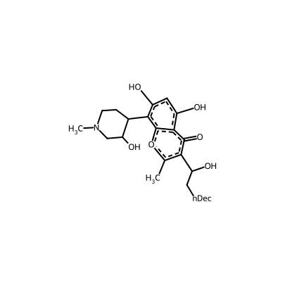 CCCCCCCCCCCC(O)c1c(C)oc2c(C3CCN(C)CC3O)c(O)cc(O)c2c1=O